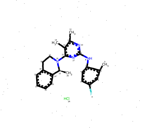 Cc1cc(F)ccc1Nc1nc(C)c(C)c(N2CCc3ccccc3[C@@H]2C)n1.Cl